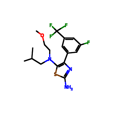 COCCN(CC(C)C)c1sc(N)nc1-c1cc(F)cc(C(F)(F)F)c1